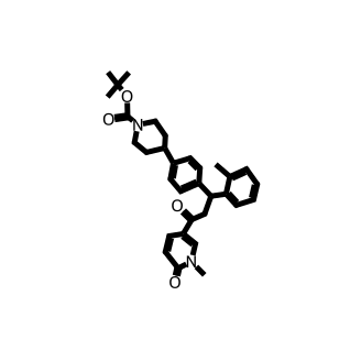 Cc1ccccc1C(CC(=O)c1ccc(=O)n(C)c1)c1ccc(C2CCN(C(=O)OC(C)(C)C)CC2)cc1